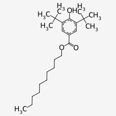 CCCCCCCCCCOC(=O)c1cc(C(C)(C)C)c(O)c(C(C)(C)C)c1